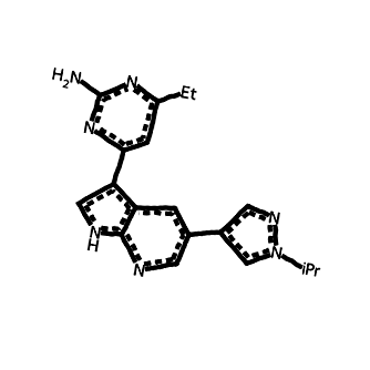 CCc1cc(-c2c[nH]c3ncc(-c4cnn(C(C)C)c4)cc23)nc(N)n1